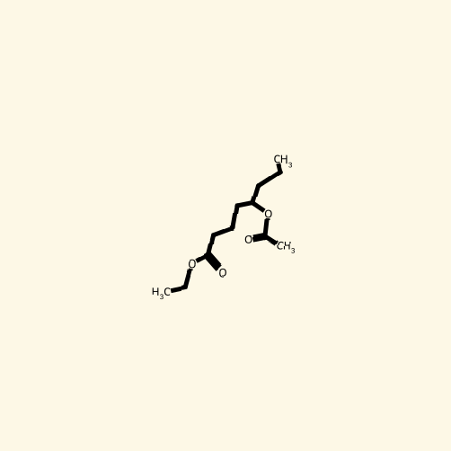 CCCC(CCCC(=O)OCC)OC(C)=O